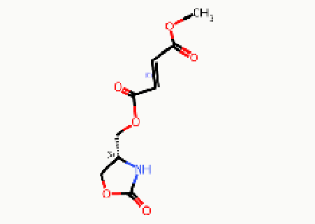 COC(=O)/C=C/C(=O)OC[C@H]1COC(=O)N1